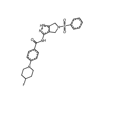 O=C(Nc1n[nH]c2c1CN(S(=O)(=O)c1ccccc1)C2)c1ccc(N2CCC(F)CC2)cc1